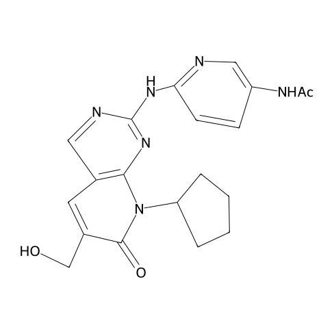 CC(=O)Nc1ccc(Nc2ncc3cc(CO)c(=O)n(C4CCCC4)c3n2)nc1